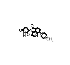 CN1CCN(c2ccc3c4c(ccnc24)N(C2CCC(=O)NC2=O)C3=O)CC1